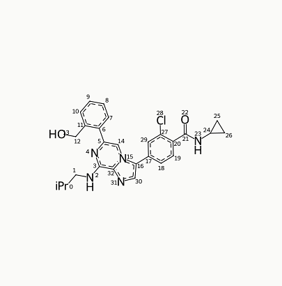 CC(C)CNc1nc(-c2ccccc2CO)cn2c(-c3ccc(C(=O)NC4CC4)c(Cl)c3)cnc12